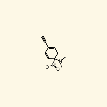 C#CC1=CCC(N(C)C)([N+](=O)[O-])C=C1